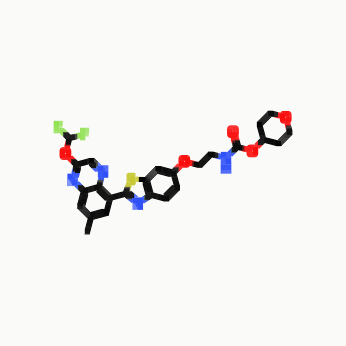 Cc1cc(-c2nc3ccc(OCCNC(=O)OC4CCOCC4)cc3s2)c2ncc(OC(F)F)nc2c1